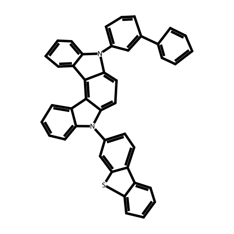 c1ccc(-c2cccc(-n3c4ccccc4c4c5c6ccccc6n(-c6ccc7c(c6)sc6ccccc67)c5ccc43)c2)cc1